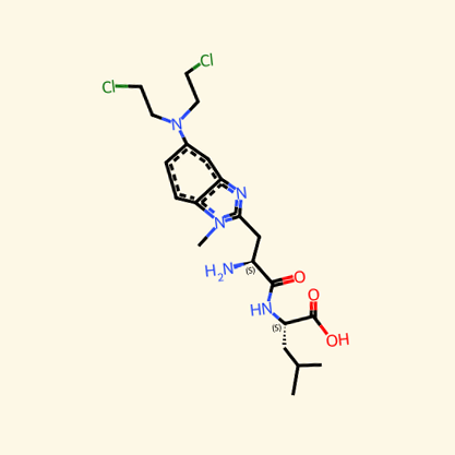 CC(C)C[C@H](NC(=O)[C@@H](N)Cc1nc2cc(N(CCCl)CCCl)ccc2n1C)C(=O)O